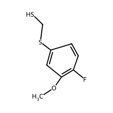 COc1cc(SCS)ccc1F